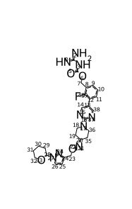 N=C(N)NC(=O)OCc1cccc(-c2cnc(N3CCC(=NOCc4ccn(C5CCCCO5)n4)CC3)nc2)c1F